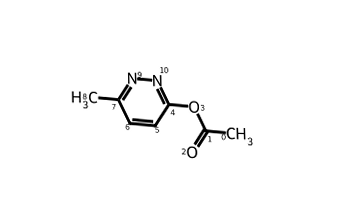 CC(=O)Oc1ccc(C)nn1